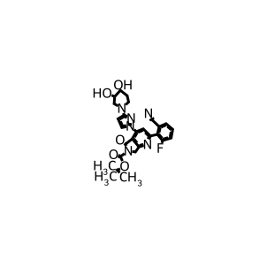 CC(C)(C)OC(=O)N1Cc2nc(-c3c(F)cccc3C#N)cc(-n3ccc(N4CC[C@@H](O)C(O)C4)n3)c2C1=O